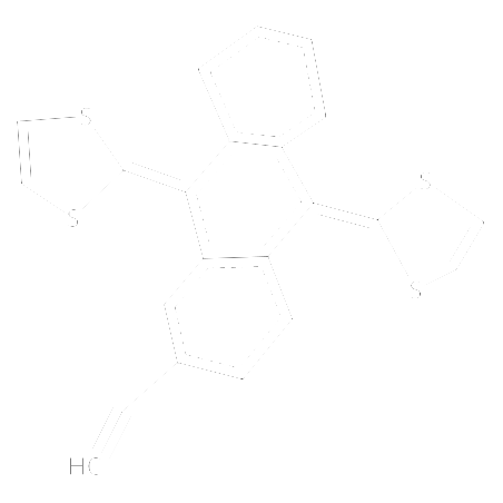 C#Cc1ccc2c(=C3SC=CS3)c3ccccc3c(=C3SC=CS3)c2c1